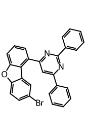 Brc1ccc2oc3cccc(-c4cc(-c5ccccc5)nc(-c5ccccc5)n4)c3c2c1